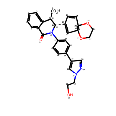 O=C(O)[C@@H]1c2ccccc2C(=O)N(c2ccc(-c3cnn(CCO)c3)cc2)[C@H]1c1ccc2c(c1)OCCO2